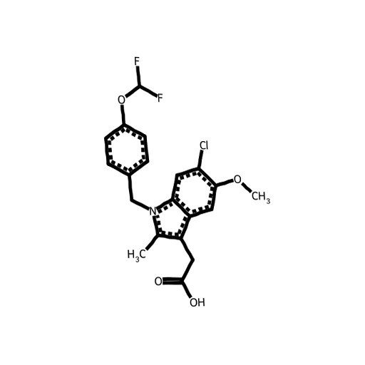 COc1cc2c(CC(=O)O)c(C)n(Cc3ccc(OC(F)F)cc3)c2cc1Cl